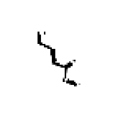 O=NC(=O)/C=C/CO